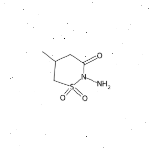 CC1CC(=O)N(N)S(=O)(=O)C1